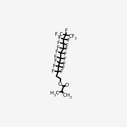 C=C(C)C(=O)OCCC(F)(F)C(F)(F)C(F)(F)C(F)(F)C(F)(F)C(F)(F)C(F)(F)C(F)(F)C(F)(C(F)(F)F)C(F)(F)F